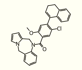 COc1cc(C2=CCCc3ccccc32)c(Cl)cc1C(=O)N1Cc2cccn2Cc2ccccc21